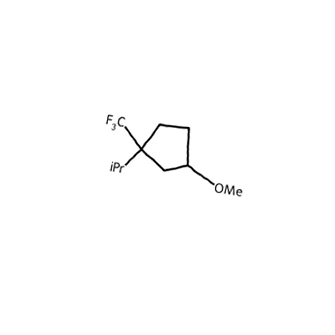 COC1CCC(C(C)C)(C(F)(F)F)C1